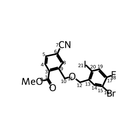 COC(=O)c1ccc(C#N)cc1COCc1cc(Br)c(F)cc1I